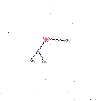 CCCCCCCCCCCCOP(=O)(O)OCCCCCCCCN(CCCCCCCC)CCCCCCCC